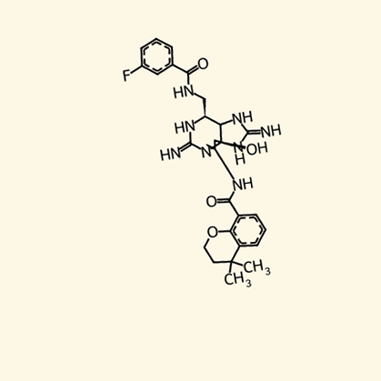 CC1(C)CCOc2c(C(=O)NC3CN4C(=N)N[C@@H](CNC(=O)c5cccc(F)c5)C5NC(=N)NC54[C@@H]3O)cccc21